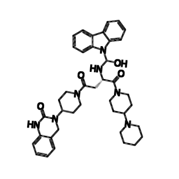 O=C(C[C@H](NC(O)n1c2ccccc2c2ccccc21)C(=O)N1CCC(N2CCCCC2)CC1)N1CCC(N2Cc3ccccc3NC2=O)CC1